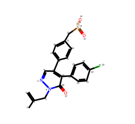 C=C(C)Cn1ncc(-c2ccc(C[SH](=O)=O)cc2)c(-c2ccc(F)cc2)c1=O